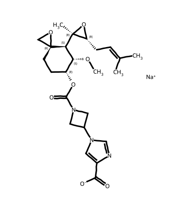 CO[C@@H]1[C@H](OC(=O)N2CC(n3cnc(C(=O)[O-])c3)C2)CC[C@]2(CO2)[C@H]1[C@@]1(C)O[C@@H]1CC=C(C)C.[Na+]